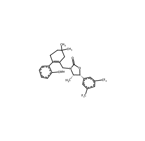 COc1ccccc1C1=C(CN2C(=O)O[C@H](c3cc(C(F)(F)F)cc(C(F)(F)F)c3)[C@@H]2C)CC(C)(C)CC1